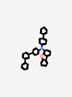 c1ccc(-c2ccc(N(c3ccc(-c4cccc(-c5ccccc5)c4)cc3)c3cccc4c3oc3ccccc34)cc2)cc1